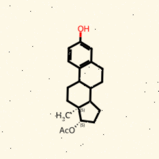 CC(=O)O[C@H]1CCC2C3CCc4cc(O)ccc4C3CC[C@@]21C